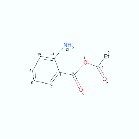 CCC(=O)OC(=O)c1ccccc1N